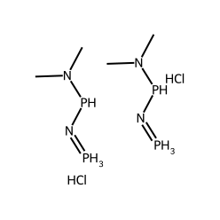 CN(C)PN=[PH3].CN(C)PN=[PH3].Cl.Cl